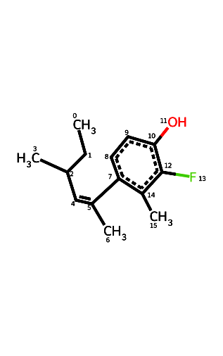 CCC(C)/C=C(/C)c1ccc(O)c(F)c1C